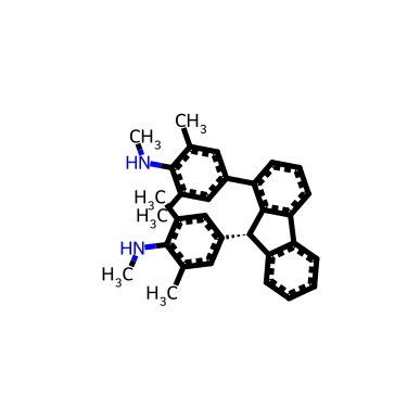 CNc1c(C)cc(-c2cccc3c2[C@@H](c2cc(C)c(NC)c(C)c2)c2ccccc2-3)cc1C